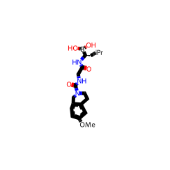 COc1ccc2c(c1)CCN(C(=O)NCC(=O)N[C@@H](CC(C)C)B(O)O)C2